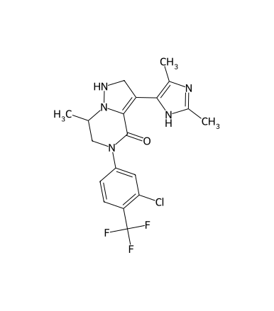 Cc1nc(C)c(C2=C3C(=O)N(c4ccc(C(F)(F)F)c(Cl)c4)CC(C)N3NC2)[nH]1